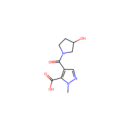 Cn1ncc(C(=O)N2CCC(O)C2)c1C(=O)O